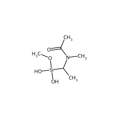 CO[Si](O)(O)C(C)N(C)C(C)=O